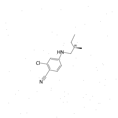 CC[C@@H](C)CNc1ccc(C#N)c(Cl)c1